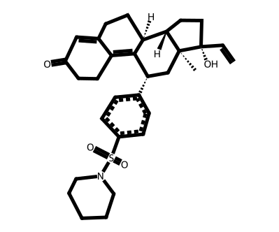 C=C[C@]1(O)CC[C@H]2[C@@H]3CCC4=CC(=O)CCC4=C3[C@@H](c3ccc(S(=O)(=O)N4CCCCC4)cc3)C[C@@]21C